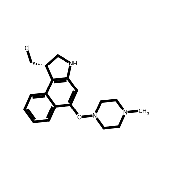 CN1CCN(Oc2cc3c(c4ccccc24)[C@H](CCl)CN3)CC1